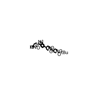 Cn1nc(N2CCC(=O)NC2=O)c2ccc(C3CCN(S(=O)(=O)C4CCN(C(=O)OC(C)(C)C)CC4)CC3)cc21